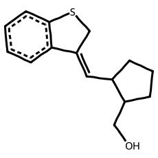 OCC1CCCC1C=C1CSc2ccccc21